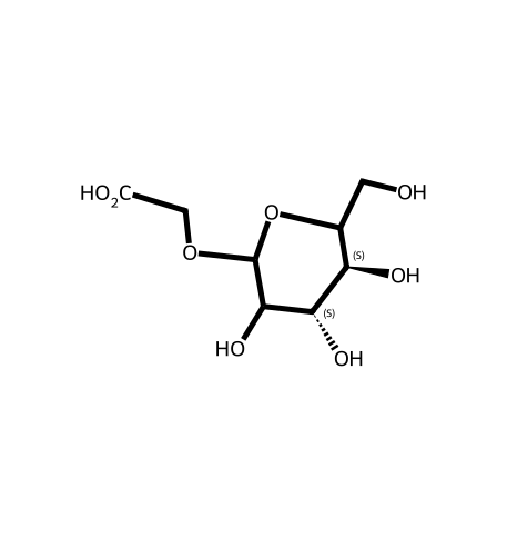 O=C(O)COC1OC(CO)[C@@H](O)[C@H](O)C1O